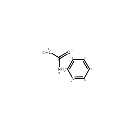 NC(=O)C=O.c1ccncc1